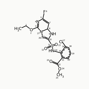 CCOC1=NC(F)=CC2NC(S(=O)(=O)Nc3c(Cl)cccc3C(=O)OC)=NN12